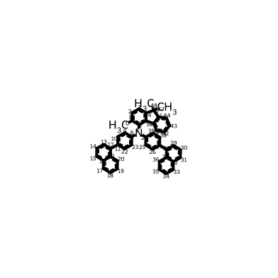 Cc1ccc2c(c1N(c1ccc(-c3cccc4ccccc34)cc1)c1ccc(-c3cccc4ccccc34)cc1)-c1ccccc1C2(C)C